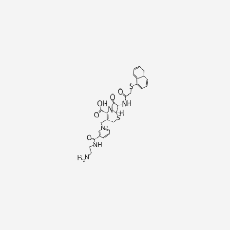 NCCNC(=O)c1ccc[n+](CC2=C(C(=O)O)N3C(=O)[C@H](NC(=O)CSc4cccc5ccccc45)[C@H]3SC2)c1